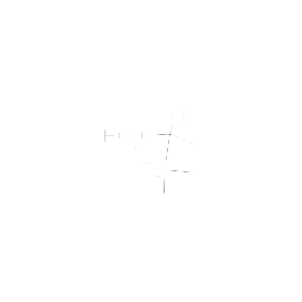 CC(Cl)(C(=O)O)[Si](C)(C)C